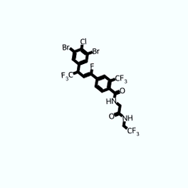 O=C(CNC(=O)c1ccc(/C(F)=C/C(c2cc(Br)c(Cl)c(Br)c2)C(F)(F)F)cc1C(F)(F)F)NCC(F)(F)F